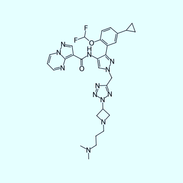 CN(C)CCCN1CC(n2nnc(Cn3cc(NC(=O)c4cnn5cccnc45)c(-c4cc(C5CC5)ccc4OC(F)F)n3)n2)C1